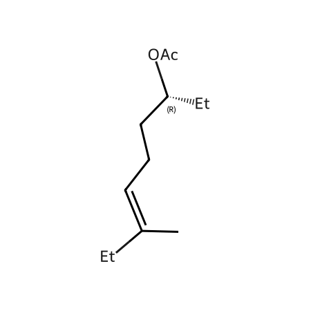 CCC(C)=CCC[C@@H](CC)OC(C)=O